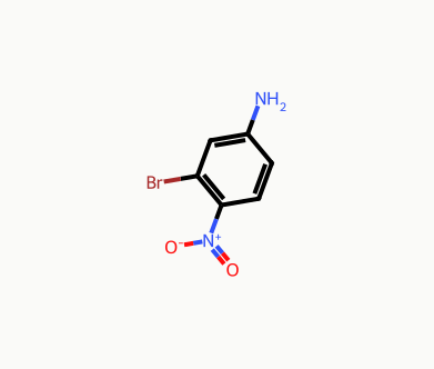 Nc1ccc([N+](=O)[O-])c(Br)c1